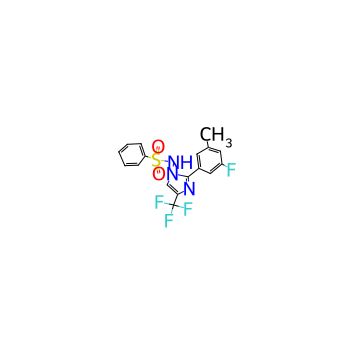 Cc1cc(F)cc(-c2nc(C(F)(F)F)cn2NS(=O)(=O)c2ccccc2)c1